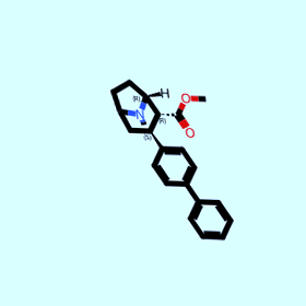 COC(=O)[C@@H]1[C@@H](c2ccc(-c3ccccc3)cc2)CC2CC[C@H]1N2C